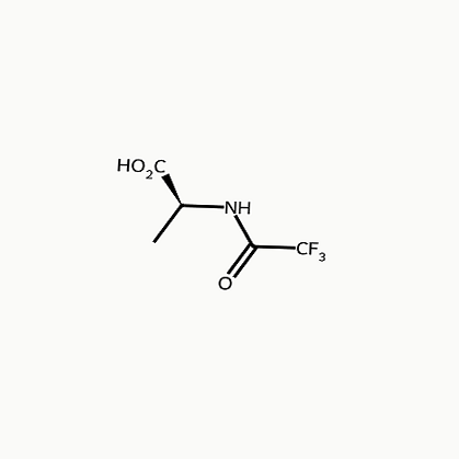 C[C@H](NC(=O)C(F)(F)F)C(=O)O